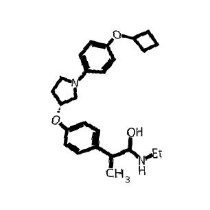 CCNC(O)C(C)c1ccc(O[C@@H]2CCN(c3ccc(OC4CCC4)cc3)C2)cc1